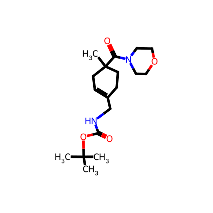 CC(C)(C)OC(=O)NCC1=CCC(C)(C(=O)N2CCOCC2)CC1